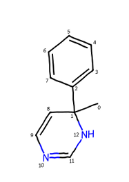 CC1(c2ccccc2)C=CN=CN1